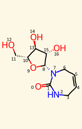 O=C1NCC=CCN1[C@@H]1O[C@H](CO)[C@@H](O)[C@@H]1O